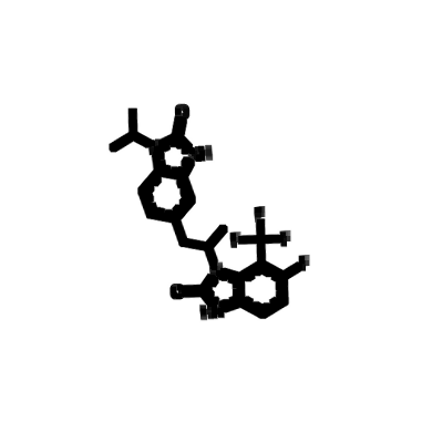 CC(C)n1c(=O)[nH]c2cc(CC(C)n3c(=O)[nH]c4ccc(F)c(C(F)(F)F)c43)ccc21